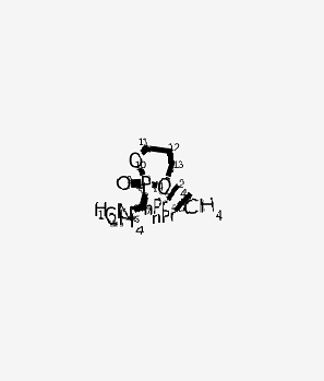 C.C.CCCC.CCCC.NCP1(=O)OCCCO1